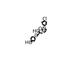 O=C1N(CC(O)COc2ccc(O)cc2)CCN1c1ccc(Cl)cc1